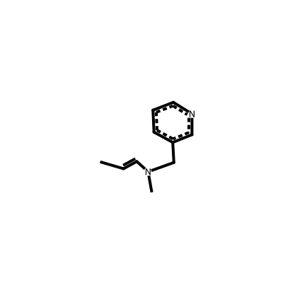 C/C=C/N(C)Cc1cccnc1